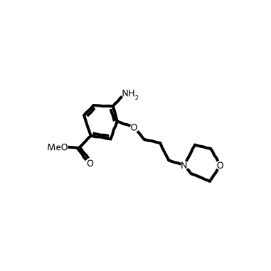 COC(=O)c1ccc(N)c(OCCCN2CCOCC2)c1